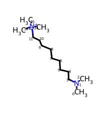 CN(C)CCCCCCCCC[N+](C)(C)C